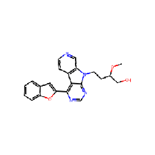 COC(CO)CCn1c2cnccc2c2c(-c3cc4ccccc4o3)ncnc21